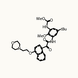 COC(=O)Nc1cc(C(C)(C)C)cc(NC(=O)C(=O)c2ccc(OCCN3CCOCC3)c3ccccc23)c1OC